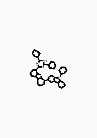 c1ccc(C2=NC(c3cccc4c3sc3c(-c5ccc6c(c5)c5ccccc5n6-c5ccccc5)cccc34)=NC(c3ccccc3)N2)cc1